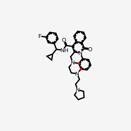 O=C(NC(c1cccc(F)c1)C1CC1)c1c(CN2CCN(CCN3CCCC3)CC2)n(-c2ccccc2)c(=O)c2ccccc12